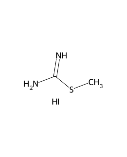 CSC(=N)N.I